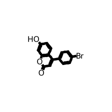 O=c1cc(-c2ccc(Br)cc2)c2ccc(O)cc2o1